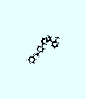 COc1ncccc1-c1cnn2ccc(N3CCN(C(=O)OC4=CCOCC4)CC3)nc12